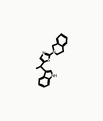 CC(c1cnc(N2CCc3ccccc3C2)s1)c1c[nH]c2ccccc12